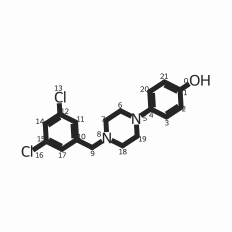 Oc1ccc(N2CCN(Cc3cc(Cl)cc(Cl)c3)CC2)cc1